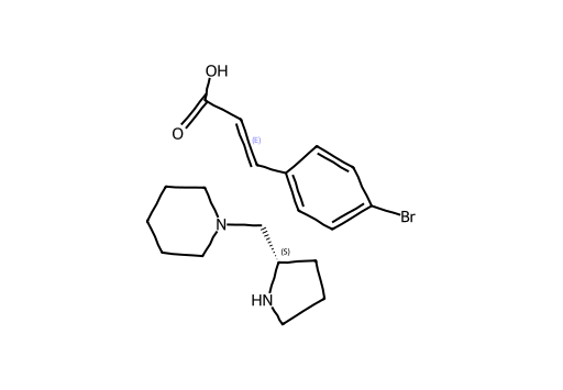 C1CCN(C[C@@H]2CCCN2)CC1.O=C(O)/C=C/c1ccc(Br)cc1